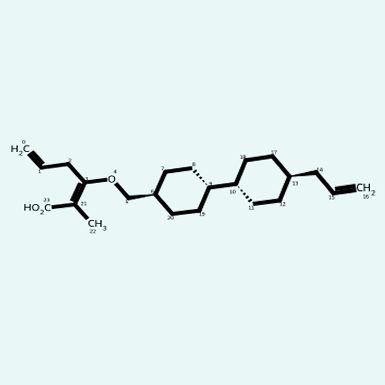 C=CCC(OC[C@H]1CC[C@H]([C@H]2CC[C@H](CC=C)CC2)CC1)=C(C)C(=O)O